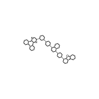 c1cc(-c2ccc(-c3ccc(-c4ccc(-c5cccc6c5oc5ccccc56)cc4)c4ccccc34)cc2)cc(-c2cnc3c4ccccc4c4ccccc4c3n2)c1